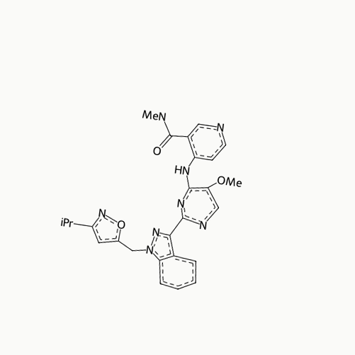 CNC(=O)c1cnccc1Nc1nc(-c2nn(Cc3cc(C(C)C)no3)c3ccccc23)ncc1OC